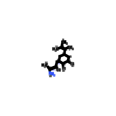 CCC(/C=C1/CC(C(C)=C(C)C)CC(CC)C1CC)=C(/C)N